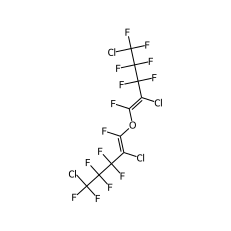 FC(OC(F)=C(Cl)C(F)(F)C(F)(F)C(F)(F)Cl)=C(Cl)C(F)(F)C(F)(F)C(F)(F)Cl